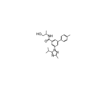 Cc1ccc(-c2cc(C(=O)NC(C)CO)cc(-n3nc(C)nc3C(C)C)c2)cc1